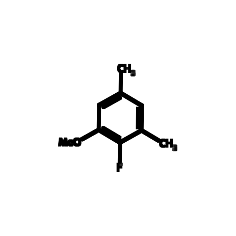 COc1cc(C)cc(C)c1F